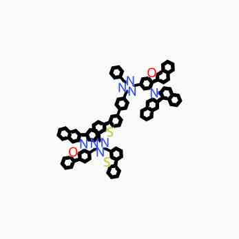 c1ccc(-c2nc(-c3ccc(-c4ccc5sc6c(-c7nc(-c8ccc9c(oc%10ccccc%109)c8-n8c9ccccc9c9cc%10ccccc%10cc98)nc(-c8cccc9c8sc8ccccc89)n7)cccc6c5c4)cc3)nc(-c3cc(-n4c5cc6ccccc6cc5c5c6ccccc6ccc54)c4c(c3)oc3c5ccccc5ccc34)n2)cc1